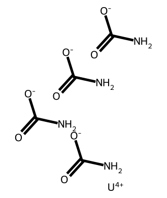 NC(=O)[O-].NC(=O)[O-].NC(=O)[O-].NC(=O)[O-].[U+4]